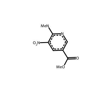 CNc1ncc(C(=O)OC)cc1[N+](=O)[O-]